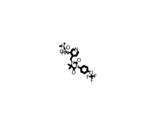 CN(C)S(=O)(=O)Nc1cnccc1CN1C(=O)N(c2ccc(OC(F)(F)F)cc2)C(=O)C1(C)C